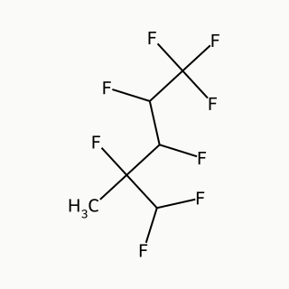 CC(F)(C(F)F)C(F)C(F)C(F)(F)F